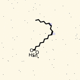 CCCCC/C=C\C/C=C\CCCCCCCC(=O)[O][SnH]([CH3])[CH3]